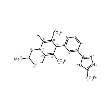 CCOC(=O)c1nnc(-c2cccc(C3C(C(=O)O)=C(C)N(CC(OC)C(C)C)C(C)=C3C(=O)O)c2)o1